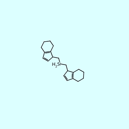 C1=CC(C[SiH2]CC2C=CC3=C2CCCC3)C2=C1CCCC2